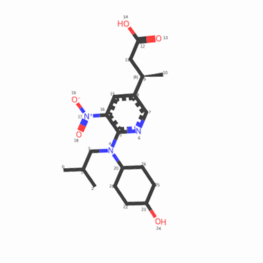 CC(C)CN(c1ncc([C@H](C)CC(=O)O)cc1[N+](=O)[O-])C1CCC(O)CC1